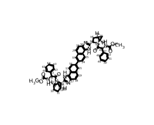 COC(=O)N[C@H](C(=O)N1[C@@H]2CC[C@@H](C2)[C@H]1c1nc2ccc3cc(-c4ccc5c(ccc6nc([C@@H]7C[C@H]8C[C@H]8N7C(=O)[C@H](NC(=O)OC)c7ccccc7)[nH]c65)c4)ccc3c2[nH]1)c1ccccc1